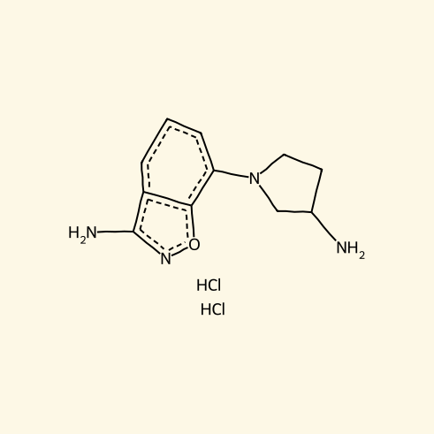 Cl.Cl.Nc1noc2c(N3CCC(N)C3)cccc12